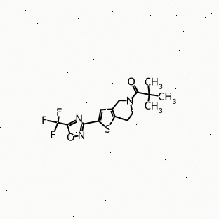 CC(C)(C)C(=O)N1CCc2sc(-c3noc(C(F)(F)F)n3)cc2C1